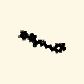 O=C(NCCCCCN1CCC(F)(F)CC1)c1cc(-c2cccs2)on1